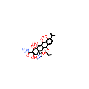 C=C(C)c1ccc2c(c1O)C(=O)C1=C(O)[C@]3(O)C(=O)C(C(N)=O)=C(O)[C@@H](N(C)C)[C@@H]3[C@@H](OC(=O)CC)[C@@H]1[C@H]2C